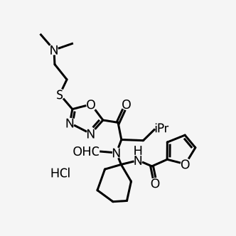 CC(C)CC(C(=O)c1nnc(SCCN(C)C)o1)N(C=O)C1(NC(=O)c2ccco2)CCCCC1.Cl